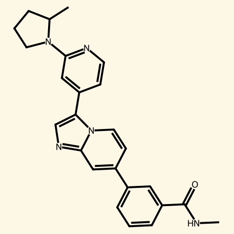 CNC(=O)c1cccc(-c2ccn3c(-c4ccnc(N5CCCC5C)c4)cnc3c2)c1